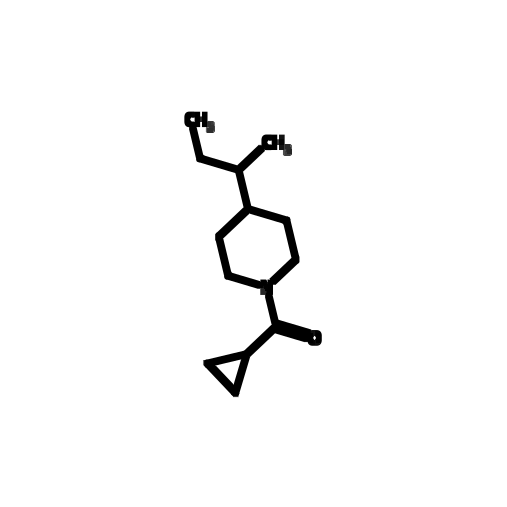 CCC(C)C1CCN(C(=O)C2CC2)CC1